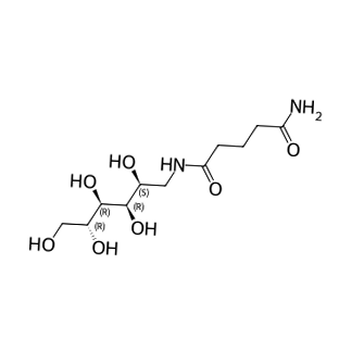 NC(=O)CCCC(=O)NC[C@H](O)[C@@H](O)[C@H](O)[C@H](O)CO